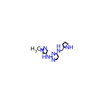 Cn1cc(Nc2nccc(NCc3ccc[nH]3)n2)cn1